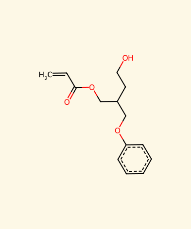 C=CC(=O)OCC(CCO)COc1ccccc1